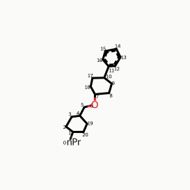 CCCC1CCC(COC2CCC(c3ccccc3)CC2)CC1